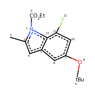 CCOC(=O)n1c(C)cc2cc(OC(C)(C)C)cc(F)c21